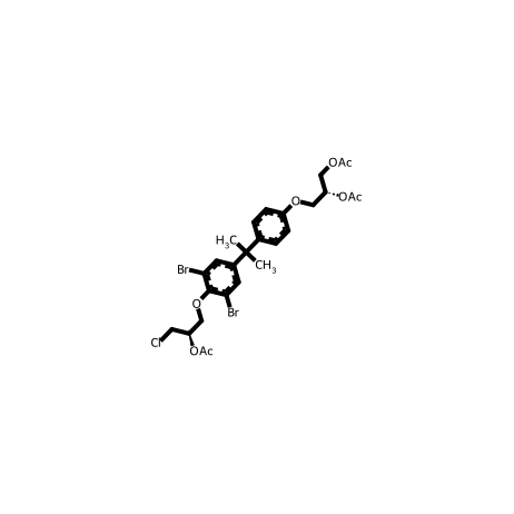 CC(=O)OC[C@@H](COc1ccc(C(C)(C)c2cc(Br)c(OC[C@H](CCl)OC(C)=O)c(Br)c2)cc1)OC(C)=O